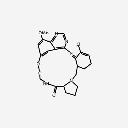 COc1cc2cc3c(ncnc13)/N=C1/C(Cl)=CCCC1CN1CCCC1C(=O)NCCO2